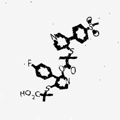 CC(C)(Sc1ccnc(OC(=O)C(C)(C)Sc2ccncc2-c2ccc(S(C)(=O)=O)cc2)c1-c1ccc(F)cc1)C(=O)O